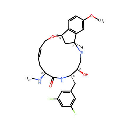 CN[C@H]1CC=CCO[C@H]2C[C@H](NC[C@@H](O)[C@H](Cc3cc(F)cc(F)c3)NC1=O)c1cc(OC)ccc12